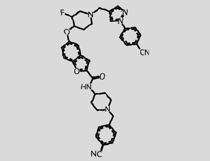 N#Cc1ccc(CN2CCC(NC(=O)c3cc4cc(OC5CCN(Cc6cnn(-c7ccc(C#N)cc7)c6)CC5F)ccc4o3)CC2)cc1